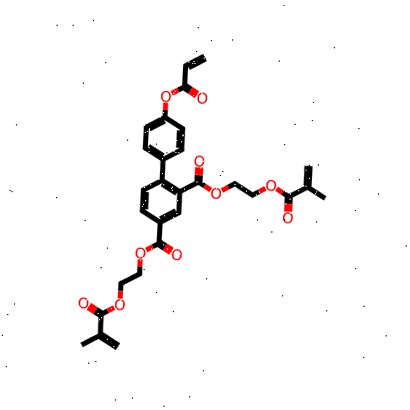 C=CC(=O)Oc1ccc(-c2ccc(C(=O)OCCOC(=O)C(=C)C)cc2C(=O)OCCOC(=O)C(=C)C)cc1